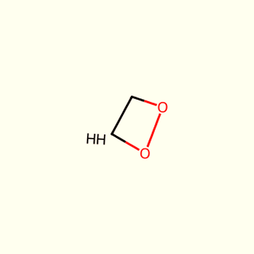 C1COO1.[HH]